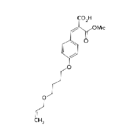 C=CCOCCCCOc1ccc(C=C(C(=O)O)C(=O)OC)cc1